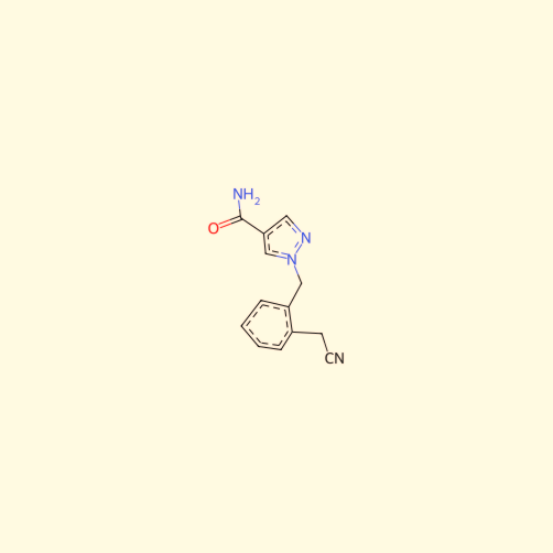 N#CCc1ccccc1Cn1cc(C(N)=O)cn1